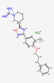 Cl.N=C(N)N1CCC[C@@H](c2nc(-c3ccc(OCCCc4ccccc4)c(C(F)(F)F)c3)no2)C1